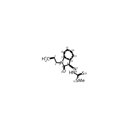 C=CCN1C(=O)C(=NNC(=S)SC)c2ccccc21